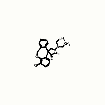 CCN(CC)CCC1(C(N)=O)c2ccccc2COc2c(Cl)cccc21